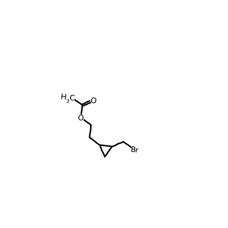 CC(=O)OCCC1CC1CBr